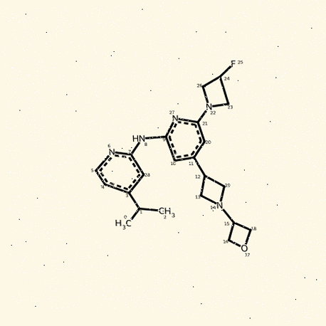 CC(C)c1ccnc(Nc2cc(C3CN(C4COC4)C3)cc(N3CC(F)C3)n2)c1